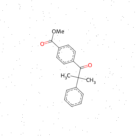 COC(=O)c1ccc(C(=O)C(C)(C)c2ccccc2)cc1